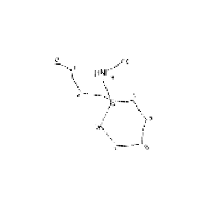 CCCC1(NC)CCCCC1